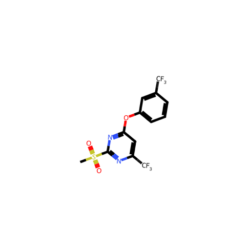 CS(=O)(=O)c1nc(Oc2cccc(C(F)(F)F)c2)cc(C(F)(F)F)n1